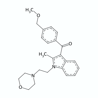 COCc1ccc(C(=O)c2c(C)n(CCN3CCOCC3)c3ccccc23)cc1